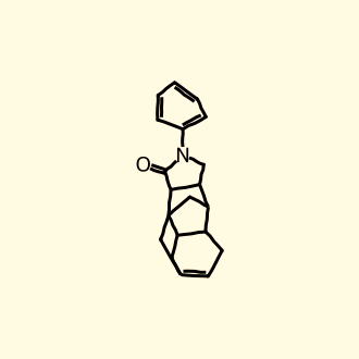 O=C1C2C(CN1c1ccccc1)C1CC23CC2=CCC1C3C2